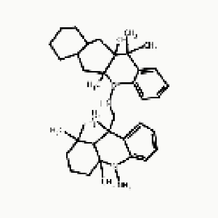 CC1(C)CCCC2(C)C1C(C)(CNN1c3ccccc3C(C)(C)C3(C)CC4CCCCC4CC13C)c1ccccc1N2N